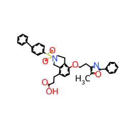 Cc1oc(-c2ccccc2)nc1CCOc1ccc(CCC(=O)O)c2c1CCN(S(=O)(=O)c1ccc(-c3ccccc3)cc1)C2